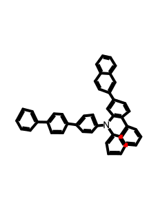 c1ccc(-c2ccc(-c3ccc(N(c4ccccc4)c4cc(-c5ccc6ccccc6c5)ccc4-c4ccccc4)cc3)cc2)cc1